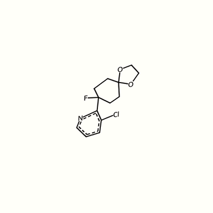 FC1(c2ncccc2Cl)CCC2(CC1)OCCO2